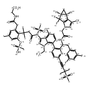 Cc1cc(CC(=O)NCC(=O)O)c(C(C)(C)CC(=O)N(c2nn(CC(F)(F)F)c3c(-c4ccc(C#CC(C)(C)S(C)(=O)=O)nc4[C@H](Cc4cc(F)cc(F)c4)NC(=O)Cn4nc(C(F)(F)F)c5c4C(F)(F)[C@@H]4C[C@H]54)ccc(Cl)c23)S(C)(=O)=O)c(OP(C)(=O)O)c1